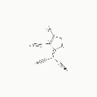 N#CC(C#N)=C1CCC(N)=C1C#N